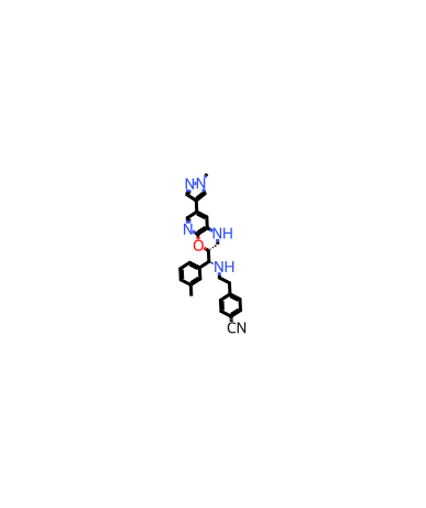 Cc1cccc([C@@H](NCCc2ccc(C#N)cc2)[C@H]2CNc3cc(-c4cnn(C)c4)cnc3O2)c1